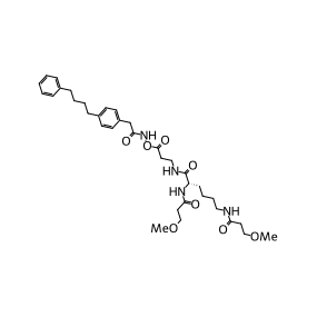 COCCC(=O)NCCCC[C@H](NC(=O)CCOC)C(=O)NCCC(=O)ONC(=O)Cc1ccc(CCCCc2ccccc2)cc1